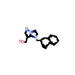 OCc1cnn2ccn(Cc3ccc4ccccc4c3)c12